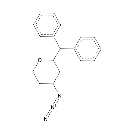 [N-]=[N+]=NC1CCOC(C(c2ccccc2)c2ccccc2)C1